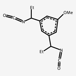 CCC(N=C=O)c1cc(OC)cc(C(CC)N=C=O)c1